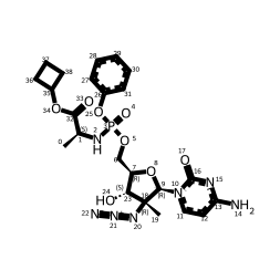 C[C@H](NP(=O)(OC[C@H]1O[C@@H](n2ccc(N)nc2=O)[C@](C)(N=[N+]=[N-])[C@@H]1O)Oc1ccccc1)C(=O)OC1CCC1